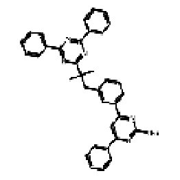 CC(C)(C)c1nc(-c2ccccc2)cc(-c2cccc(CC(C)(C)c3nc(-c4ccccc4)nc(-c4ccccc4)n3)c2)n1